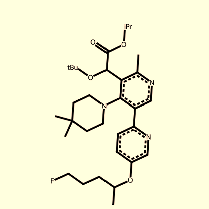 Cc1ncc(-c2ccc(OC(C)CCCF)cn2)c(N2CCC(C)(C)CC2)c1C(OC(C)(C)C)C(=O)OC(C)C